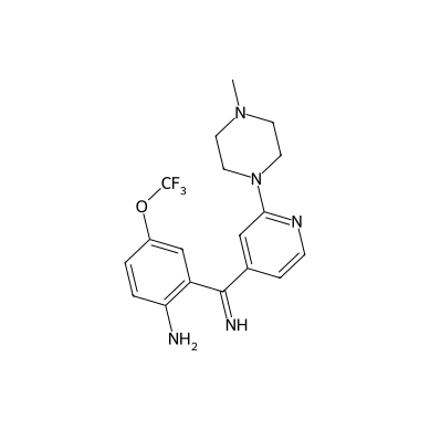 CN1CCN(c2cc(C(=N)c3cc(OC(F)(F)F)ccc3N)ccn2)CC1